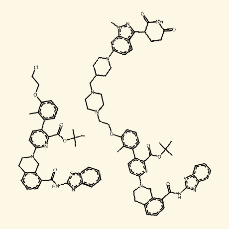 Cc1c(OCCCl)cccc1-c1ccc(N2CCc3cccc(C(=O)Nc4nc5ccccc5s4)c3C2)nc1C(=O)OC(C)(C)C.Cc1c(OCCN2CCN(CC3CCN(c4ccc5c(C6CCC(=O)NC6=O)nn(C)c5c4)CC3)CC2)cccc1-c1ccc(N2CCc3cccc(C(=O)Nc4nc5ccccc5s4)c3C2)nc1C(=O)OC(C)(C)C